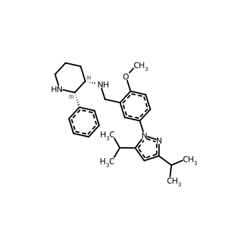 COc1ccc(-n2nc(C(C)C)cc2C(C)C)cc1CN[C@H]1CCCN[C@H]1c1ccccc1